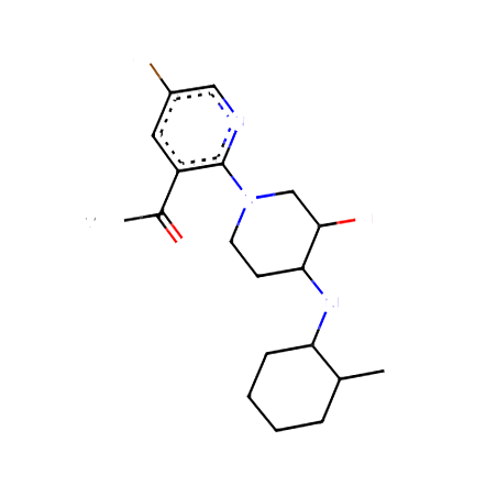 COC(=O)c1cc(Br)cnc1N1CCC(NC2CCCCC2C)C(O)C1